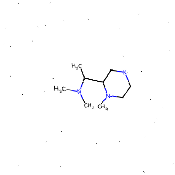 CC(C1C[N]CCN1C)N(C)C